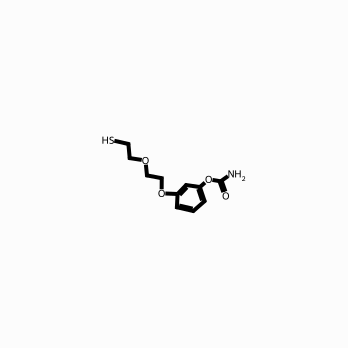 NC(=O)Oc1cccc(OCCOCCS)c1